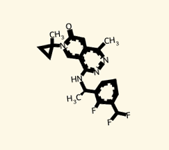 Cc1nnc(N[C@H](C)c2cccc(C(F)F)c2F)c2cn(C3(C)CC3)c(=O)cc12